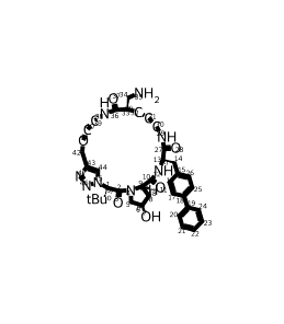 CC(C)(C)[C@H]1C(=O)N2C[C@H](O)C[C@H]2C(=O)N[C@H](Cc2ccc(-c3ccccc3)cc2)C(=O)NCCC[C@H](CN)C(=O)NCCOCc2cn1nn2